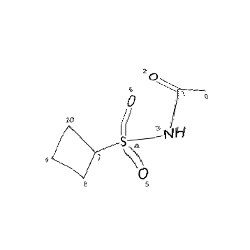 CC(=O)NS(=O)(=O)C1CCC1